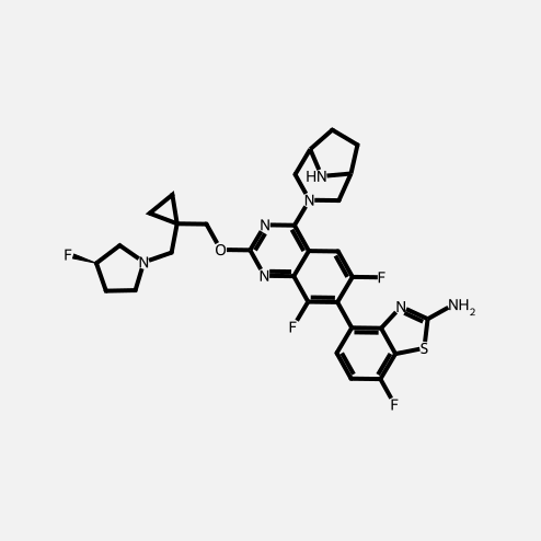 Nc1nc2c(-c3c(F)cc4c(N5CC6CCC(C5)N6)nc(OCC5(CN6CC[C@@H](F)C6)CC5)nc4c3F)ccc(F)c2s1